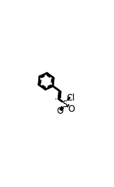 O=S(=O)(Cl)/[C]=C/c1ccccc1